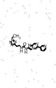 CCn1nnc(CCNC(=O)Nc2cn3cc(-c4cccnc4)ncc3n2)n1